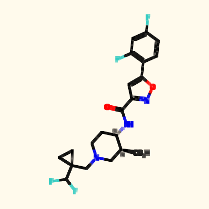 O=C(N[C@H]1CCN(CC2(C(F)F)CC2)C[C@@H]1C(=O)O)c1cc(-c2ccc(F)cc2F)on1